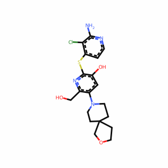 Nc1nccc(Sc2nc(CO)c(N3CCC4(CCOC4)CC3)cc2O)c1Cl